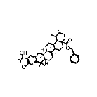 C[C@@H]1CC[C@]2(C(=O)OCc3ccccc3)CC[C@]3(C)C(=CC[C@@H]4[C@@]5(C)Cc6cc(C(=O)O)c(Cl)nc6C(C)(C)[C@@H]5CC[C@]43C)C2[C@H]1C